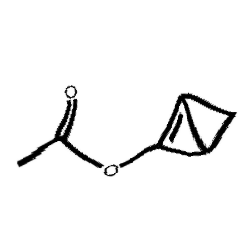 CC(=O)OC1=C2CC21